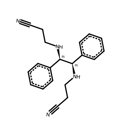 N#CCCN[C@H](c1ccccc1)[C@H](NCCC#N)c1ccccc1